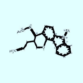 C=CCC1COc2c(ccc3c2c2ccccc2n3CC)/C1=N/OC(C)=O